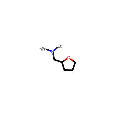 CCCN(CC)CC1CCCO1